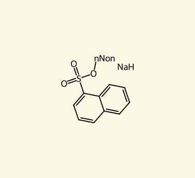 CCCCCCCCCOS(=O)(=O)c1cccc2ccccc12.[NaH]